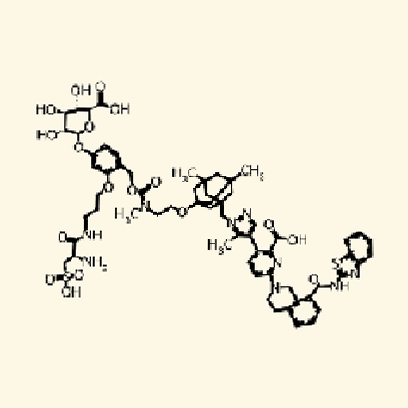 Cc1c(-c2ccc(N3CCc4cccc(C(=O)Nc5nc6ccccc6s5)c4C3)nc2C(=O)O)cnn1CC12CC3(C)CC(C)(C1)CC(OCCN(C)C(=O)OCc1ccc(O[C@@H]4O[C@H](C(=O)O)[C@@H](O)[C@H](O)[C@H]4O)cc1OCCCNC(=O)[C@@H](N)CS(=O)(=O)O)(C3)C2